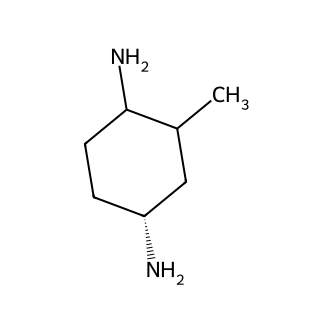 CC1C[C@H](N)CCC1N